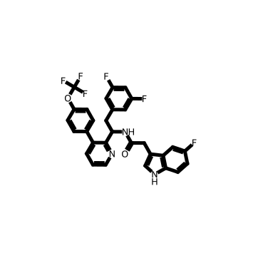 O=C(Cc1c[nH]c2ccc(F)cc12)NC(Cc1cc(F)cc(F)c1)c1ncccc1-c1ccc(OC(F)(F)F)cc1